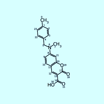 Cc1ccc(CN(C)c2ccc3cc(C(=O)O)c(=O)oc3c2)cc1